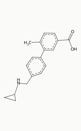 Cc1ccc(C(=O)O)cc1-c1ccc(CNC2CC2)cc1